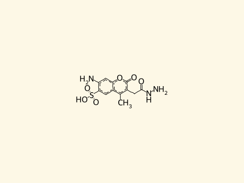 Cc1c(CC(=O)NN)c(=O)oc2cc(N)c(S(=O)(=O)O)cc12